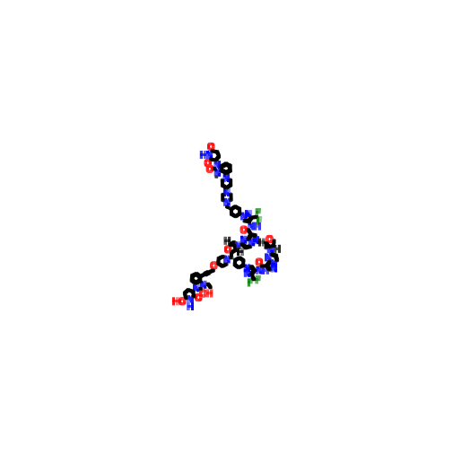 CCN1c2c(C#CCOC3CCN(C(C4O[C@@H]5C[C@H]4N(c4ccn6ncc(C(=O)Nc7cn([C@H]8CC[C@H](CN9CCN(C%10CCN(c%11cccc%12c%11n(C)c(=O)n%12C%11CCC(=O)NC%11=O)CC%10)CC9)CC8)nc7C(F)F)c6n4)C5)[C@H]4CC[C@H](n5cc(NC(=O)c6cnn7ccc(N8C[C@H]9C[C@@H]8CO9)nc67)c(C(F)F)n5)CC4)CC3)cccc2N(C2CCC(O)NC2=O)C1O